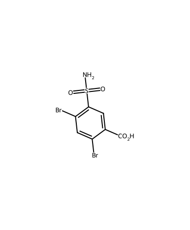 NS(=O)(=O)c1cc(C(=O)O)c(Br)cc1Br